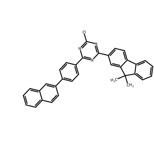 CC1(C)c2ccccc2-c2ccc(-c3nc(Cl)nc(-c4ccc(-c5ccc6ccccc6c5)cc4)n3)cc21